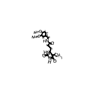 COc1ccc(CNC(=O)C=Cc2[nH]c(=O)[nH]c(=O)c2C)cc1OC